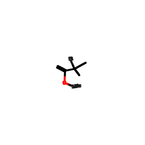 C=C(ONC)C(C)(C)CC